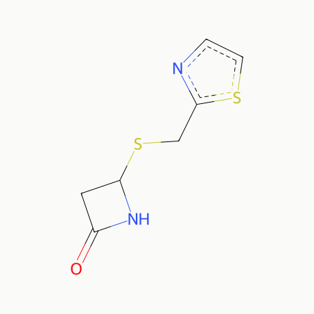 O=C1CC(SCc2nccs2)N1